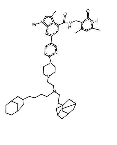 Cc1cc(C)c(CNC(=O)c2cc(-c3ccc(N4CCN(CCN(CCCCC5CC6CCCC(C5)C6)CCC56CC7CC(CC(C7)C5)C6)CC4)nc3)cc3c2c(C)cn3C(C)C)c(=O)[nH]1